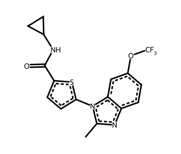 Cc1nc2ccc(OC(F)(F)F)cc2n1-c1ccc(C(=O)NC2CC2)s1